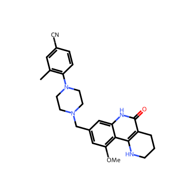 COc1cc(CN2CCN(c3ccc(C#N)cc3C)CC2)cc2[nH]c(=O)c3c(c12)NCCC3